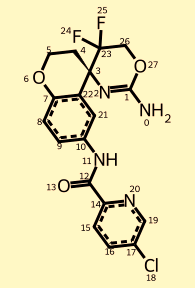 NC1=N[C@@]2(CCOc3ccc(NC(=O)c4ccc(Cl)cn4)cc32)C(F)(F)CO1